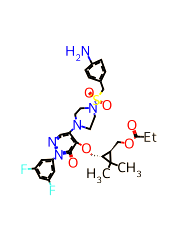 CCC(=O)OC[C@@H]1[C@@H](COc2c(N3CCN(S(=O)(=O)Cc4ccc(N)cc4)CC3)cnn(-c3cc(F)cc(F)c3)c2=O)C1(C)C